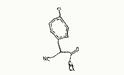 CCC(=O)C(C#N)c1ccc(Cl)cc1